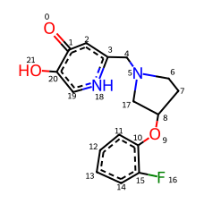 O=c1cc(CN2CCC(Oc3ccccc3F)C2)[nH]cc1O